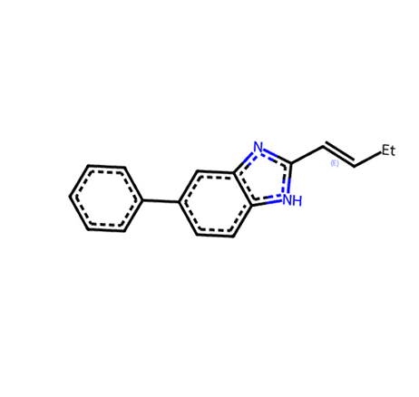 CC/C=C/c1nc2cc(-c3ccccc3)ccc2[nH]1